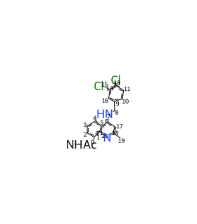 CC(=O)Nc1cccc2c(NCc3ccc(Cl)c(Cl)c3)cc(C)nc12